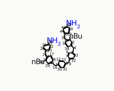 CCCCc1cc(Cc2ccc(Cc3ccc(Cc4ccc(Cc5ccc(N)cc5)c(CCCC)c4)cc3)cc2)ccc1Cc1ccc(N)cc1